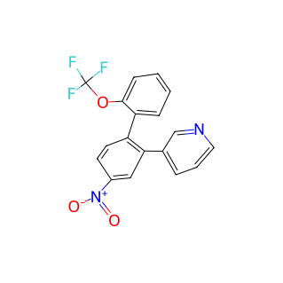 O=[N+]([O-])c1ccc(-c2ccccc2OC(F)(F)F)c(-c2cccnc2)c1